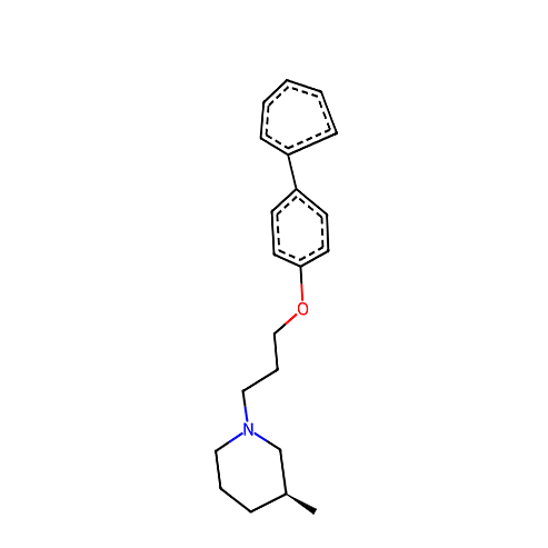 C[C@H]1CCCN(CCCOc2ccc(-c3ccccc3)cc2)C1